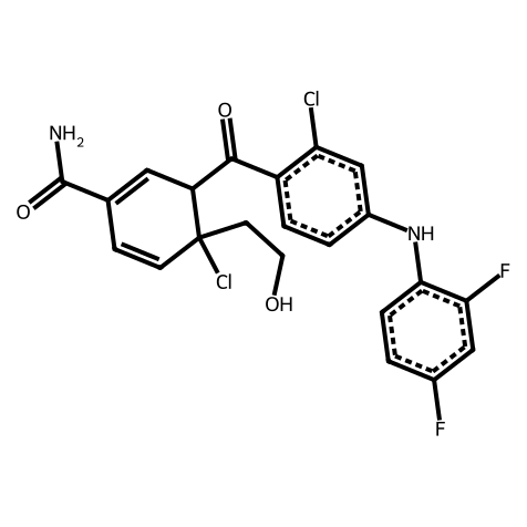 NC(=O)C1=CC(C(=O)c2ccc(Nc3ccc(F)cc3F)cc2Cl)C(Cl)(CCO)C=C1